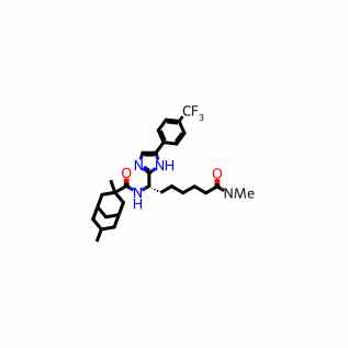 CNC(=O)CCCCC[C@H](NC(=O)C1(C)CC2CC(C)CC(C2)C1)c1ncc(-c2ccc(C(F)(F)F)cc2)[nH]1